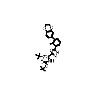 Cc1c(-c2ccc3c(c2)OCCO3)cccc1-c1nnc([C@@H](COC(C)(C)C)NC(=O)OC(C)(C)C)o1